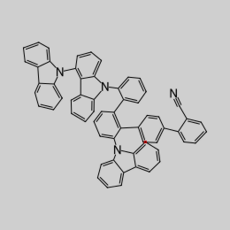 N#Cc1ccccc1-c1ccc(-c2c(-c3ccccc3-n3c4ccccc4c4c(-n5c6ccccc6c6ccccc65)cccc43)cccc2-n2c3ccccc3c3ccccc32)cc1